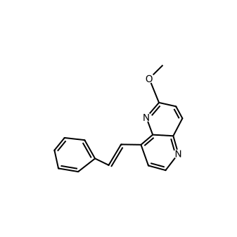 COc1ccc2nccc(/C=C/c3ccccc3)c2n1